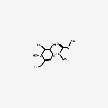 CCCCCCCCN(C(=O)OC(C)(C)C)[C@@H]1C=C(CO)[C@H](O)C(O)C1O